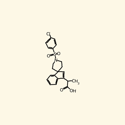 CC(C(=O)O)C1=CC2(CCN(S(=O)(=O)c3ccc(Cl)cc3)CC2)c2ccccc21